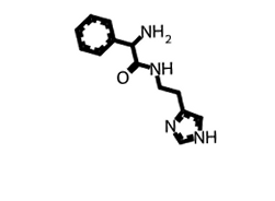 NC(C(=O)NCCc1c[nH]cn1)c1ccccc1